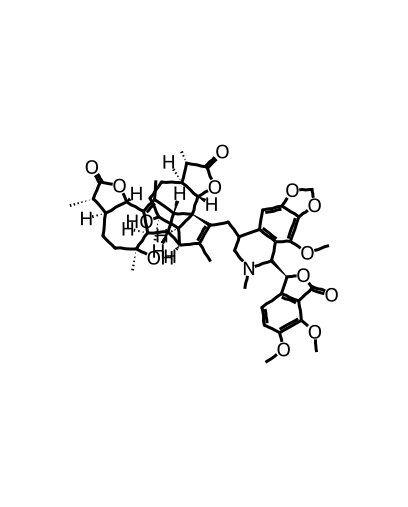 COc1ccc2c(c1OC)C(=O)O[C@@H]2C1c2c(cc3c(c2OC)OCO3)C(CC2=C(C)[C@H]3[C@H]4[C@H](C(C)=C5[C@H]6OC(=O)[C@@H](C)[C@@H]6CC[C@](C)(O)[C@@H]54)[C@]24[C@@H]3[C@@](C)(O)CC[C@H]2[C@H](C)C(=O)O[C@@H]24)CN1C